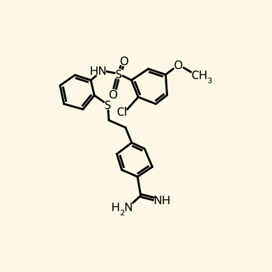 COc1ccc(Cl)c(S(=O)(=O)Nc2ccccc2SCCc2ccc(C(=N)N)cc2)c1